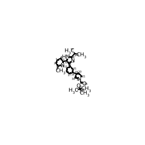 Cc1cccc(-c2[nH]c(C(C)C)nc2-c2cccc(-c3ccn(C(=O)OC(C)(C)C)c3)c2)n1